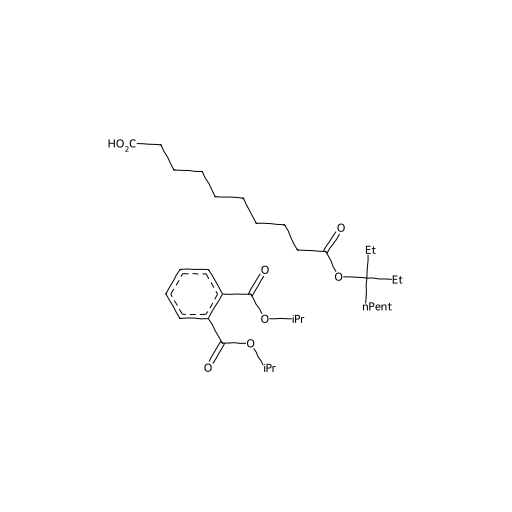 CC(C)OC(=O)c1ccccc1C(=O)OC(C)C.CCCCCC(CC)(CC)OC(=O)CCCCCCCCC(=O)O